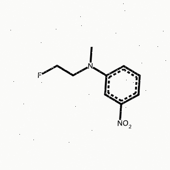 CN(CCF)c1cccc([N+](=O)[O-])c1